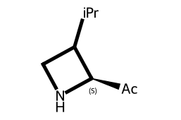 CC(=O)[C@H]1NCC1C(C)C